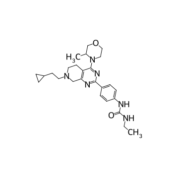 CCNC(=O)Nc1ccc(-c2nc3c(c(N4CCOCC4C)n2)CCN(CCC2CC2)C3)cc1